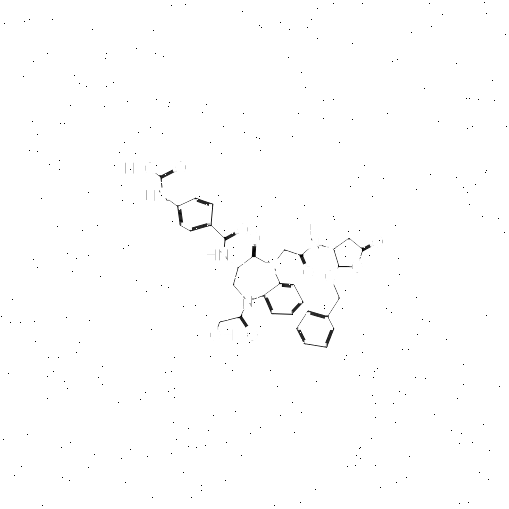 CC(=O)Nc1ccc(C(=O)N[C@H]2CN(C(=O)CO)c3ccccc3N(CC(=O)N[C@H]3CC(=O)OC3OCc3ccccc3)C2=O)cc1